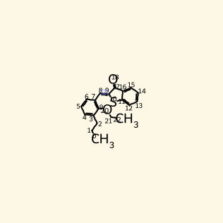 CCCc1cccc(/C=C2\Sc3ccccc3C2=O)c1OCC